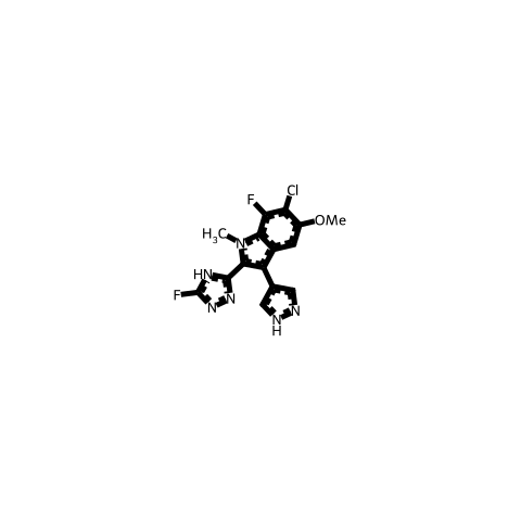 COc1cc2c(-c3cn[nH]c3)c(-c3nnc(F)[nH]3)n(C)c2c(F)c1Cl